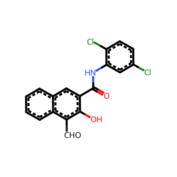 O=Cc1c(O)c(C(=O)Nc2cc(Cl)ccc2Cl)cc2ccccc12